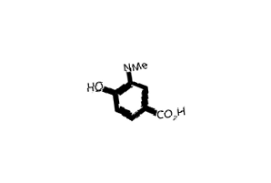 CNc1cc(C(=O)O)ccc1O